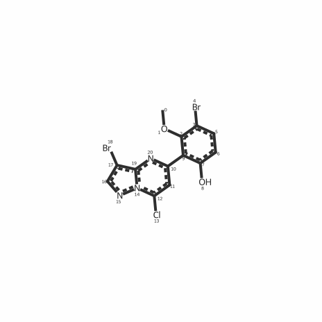 COc1c(Br)ccc(O)c1-c1cc(Cl)n2ncc(Br)c2n1